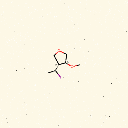 CO[C@@H]1COC[C@H]1C(C)I